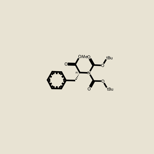 COC(=O)[C@@H](Cc1ccccc1)N(C(=O)OC(C)(C)C)C(=O)OC(C)(C)C